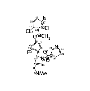 CNCc1cc(-c2ccc(O[C@H](C)c3c(Cl)ccc(F)c3Cl)cc2F)n(S(=O)(=O)c2cccnc2)c1